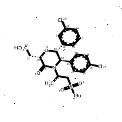 CC(CS(=O)(=O)C(C)(C)C)N1C(=O)[C@H](CC(=O)O)O[C@H](c2cccc(Cl)c2)[C@H]1c1ccc(Cl)cc1